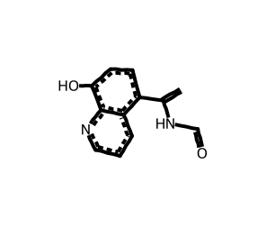 C=C(NC=O)c1ccc(O)c2ncccc12